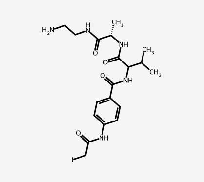 CC(C)C(NC(=O)c1ccc(NC(=O)CI)cc1)C(=O)N[C@@H](C)C(=O)NCCN